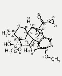 COc1ccc2c3c1O[C@H]1C(OC)[C@]4(CO)C[C@]5(CC[C@H]4C)[C@@H](C2)N(C(=O)C2CC2)CC[C@]315